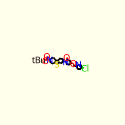 CC(C)(C)OC(=O)N1CCc2sc3cc(-n4ccc(OCc5ccc(Cl)cn5)cc4=O)ccc3c2CC1